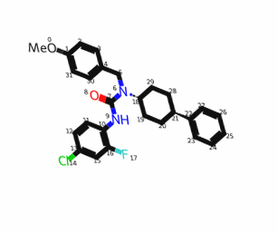 COc1ccc(CN(C(=O)Nc2ccc(Cl)cc2F)[C@H]2CC[C@H](c3ccccc3)CC2)cc1